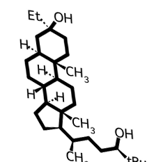 CC[C@]1(O)CC[C@@]2(C)[C@@H](CC[C@@H]3[C@@H]2CC[C@]2(C)[C@@H]([C@H](C)CC[C@@H](O)C(C)(C)C)CC[C@@H]32)C1